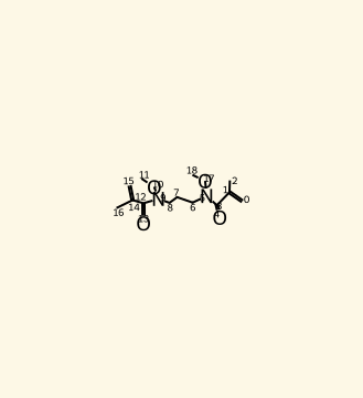 C=C(C)C(=O)N(CCCN(OC)C(=O)C(=C)C)OC